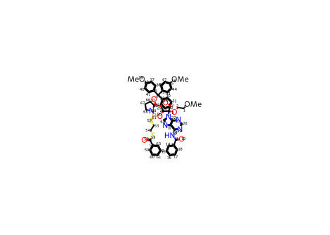 COCCOC1(n2cnc3c(NC(=O)c4ccccc4)ncnc32)CO[C@H](COC(c2ccccc2)(c2ccc(OC)cc2)c2ccc(OC)cc2)C1OP(SCCSC(=O)c1ccccc1)N1CCCC1